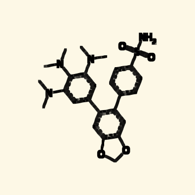 CN(C)c1cc(-c2cc3c(cc2-c2ccc(S(N)(=O)=O)cc2)OCO3)cc(N(C)C)c1N(C)C